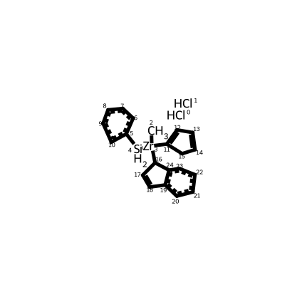 Cl.Cl.[CH3][Zr]([SiH2]c1ccccc1)([C]1=CC=CC1)[CH]1C=Cc2ccccc21